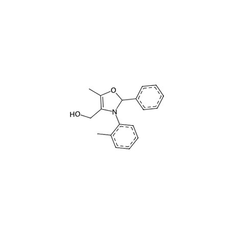 CC1=C(CO)N(c2ccccc2C)C(c2ccccc2)O1